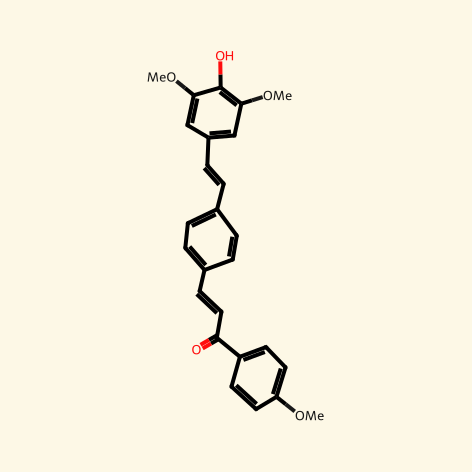 COc1ccc(C(=O)/C=C/c2ccc(/C=C/c3cc(OC)c(O)c(OC)c3)cc2)cc1